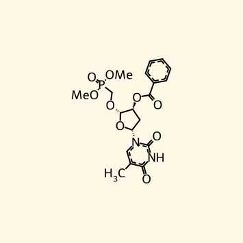 COP(=O)(CO[C@H]1O[C@@H](n2cc(C)c(=O)[nH]c2=O)C[C@@H]1OC(=O)c1ccccc1)OC